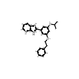 CC(C)Oc1cc(OCCc2ccccc2)cc(-c2nc3cccnc3[nH]2)c1